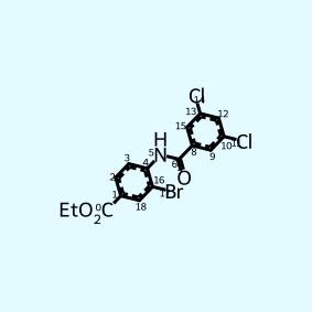 CCOC(=O)c1ccc(NC(=O)c2cc(Cl)cc(Cl)c2)c(Br)c1